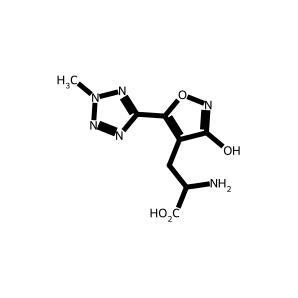 Cn1nnc(-c2onc(O)c2CC(N)C(=O)O)n1